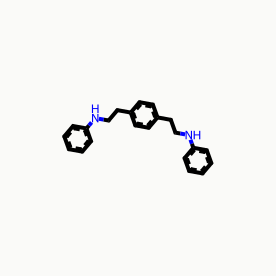 c1ccc(NCCc2ccc(CCNc3ccccc3)cc2)cc1